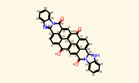 O=C1c2cc3c(=O)c4ccc5c6c(cc7c(=O)c8ccc(c2c8c3c7c46)C2Nc3ccccc3N12)c(=O)n1c2ccccc2nc51